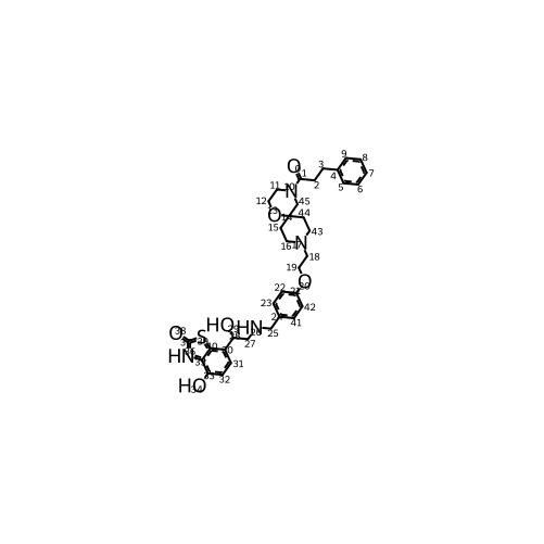 O=C(CCc1ccccc1)N1CCOC2(CCN(CCOc3ccc(CNC[C@H](O)c4ccc(O)c5[nH]c(=O)sc45)cc3)CC2)C1